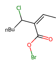 CC=C(C(=O)OBr)C(Cl)CCCC